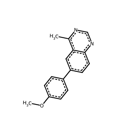 COc1ccc(-c2ccc3ncnc(C)c3c2)cc1